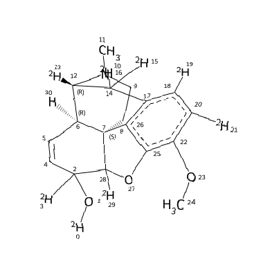 [2H]OC1([2H])C=C[C@@H]2[C@@]34CCN(C)[C@]2([2H])C([2H])([2H])c2c([2H])c([2H])c(OC)c(c23)OC14[2H]